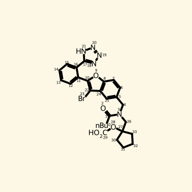 CCCCC(=O)N(Cc1ccc2oc(-c3ccccc3-c3nnn[nH]3)c(Br)c2c1)CC1(OC(=O)O)CCCC1